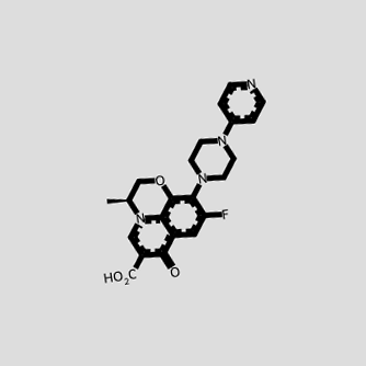 C[C@H]1COc2c(N3CCN(c4ccncc4)CC3)c(F)cc3c(=O)c(C(=O)O)cn1c23